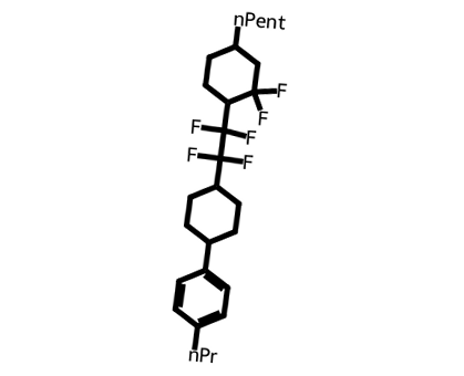 CCCCCC1CCC(C(F)(F)C(F)(F)C2CCC(c3ccc(CCC)cc3)CC2)C(F)(F)C1